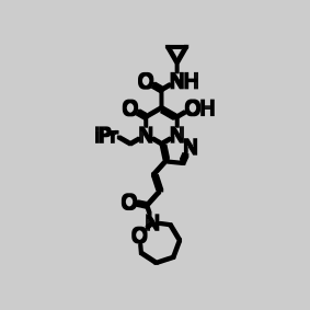 CC(C)Cn1c(=O)c(C(=O)NC2CC2)c(O)n2ncc(C=CC(=O)N3CCCCCO3)c12